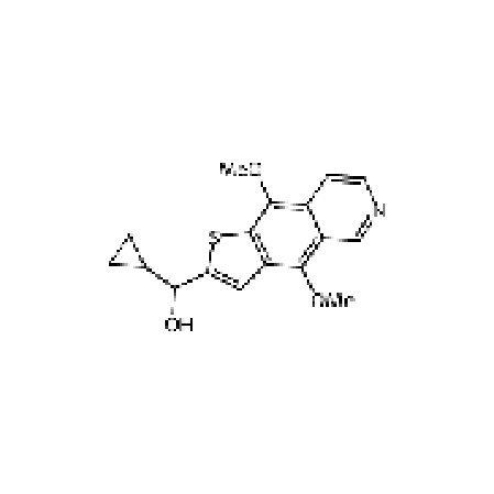 COc1c2cnccc2c(OC)c2sc(C(O)C3CC3)cc12